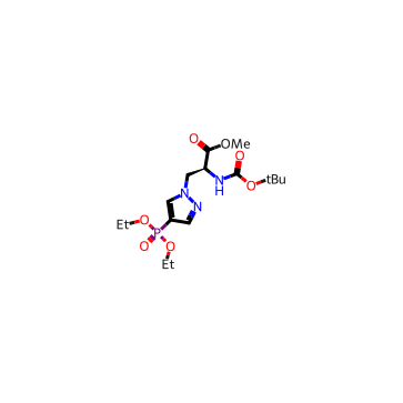 CCOP(=O)(OCC)c1cnn(C[C@H](NC(=O)OC(C)(C)C)C(=O)OC)c1